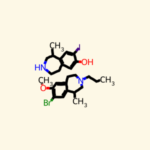 CC1CNCCc2cc(O)c(I)cc21.CCCN1CCc2cc(OC)c(Br)cc2C(C)C1